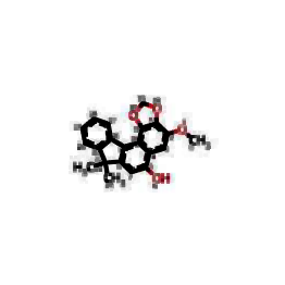 COc1cc2c(O)cc3c(c2c2c1OCO2)-c1ccccc1C3(C)C